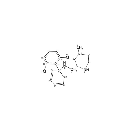 CN1CCNCC1.CNC1(c2c(Cl)cccc2Cl)C=CC=CC1